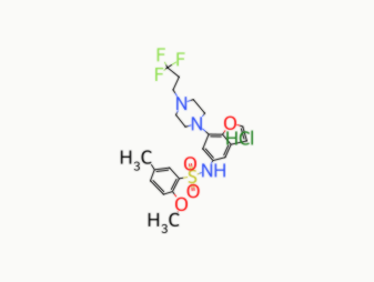 COc1ccc(C)cc1S(=O)(=O)Nc1cc(N2CCN(CCC(F)(F)F)CC2)c2occc2c1.Cl